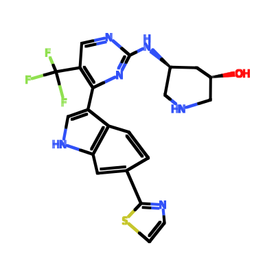 O[C@H]1CNC[C@@H](Nc2ncc(C(F)(F)F)c(-c3c[nH]c4cc(-c5nccs5)ccc34)n2)C1